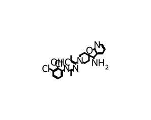 C/C(=N/C(=C(/C)C=O)N1CCC2(CC1)Oc1ncccc1C2N)N(C)c1cccc(Cl)c1Cl